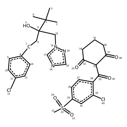 CC(C)(C)C(O)(CCc1ccc(Cl)cc1)Cn1cncn1.CS(=O)(=O)c1ccc(C(=O)C2C(=O)CCCC2=O)c(Cl)c1